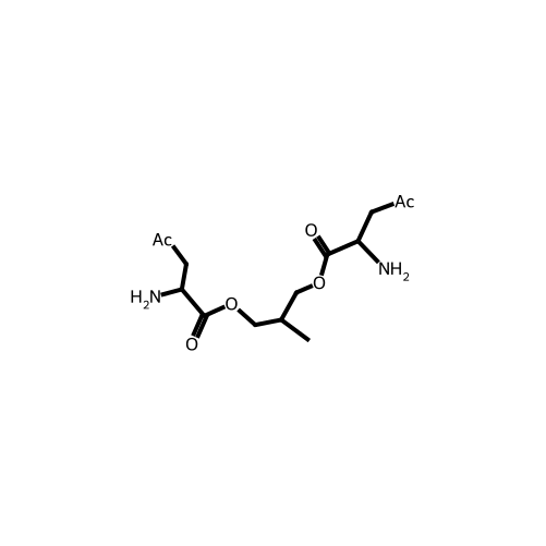 CC(=O)CC(N)C(=O)OCC(C)COC(=O)C(N)CC(C)=O